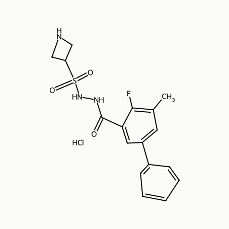 Cc1cc(-c2ccccc2)cc(C(=O)NNS(=O)(=O)C2CNC2)c1F.Cl